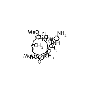 COc1cc2cc(c1Cl)N(C)C(O)C[C@H](OC(=O)NC1=CC=C(N)CC1)[C@]1(C)O[C@H]1[C@H](C)[C@@H]1C[C@@](O)(NC(=O)O1)[C@H](OC)/C=C/C=C(\C)C2